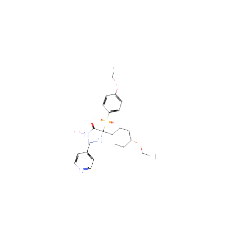 CCOc1ccc(S(=O)(=O)[C@@](NCc2ccncc2)(C(=O)NO)[C@H]2CC[C@H](OCC)CC2)cc1